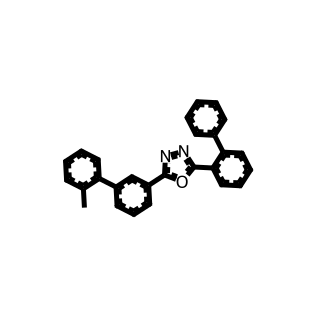 Cc1ccccc1-c1cccc(-c2nnc(-c3ccccc3-c3ccccc3)o2)c1